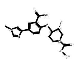 Cn1cnc(-c2ccc(OC3CCN(C(=O)OC(C)(C)C)C[C@H]3F)c(C(N)=O)c2)c1